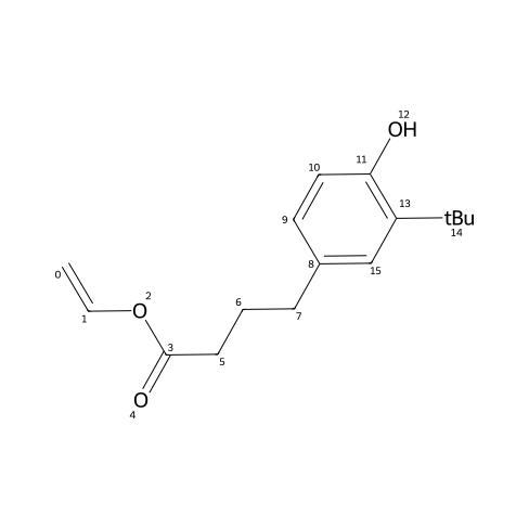 C=COC(=O)CCCc1ccc(O)c(C(C)(C)C)c1